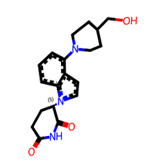 O=C1CC[C@H](n2ccc3c(N4CCC(CO)CC4)cccc32)C(=O)N1